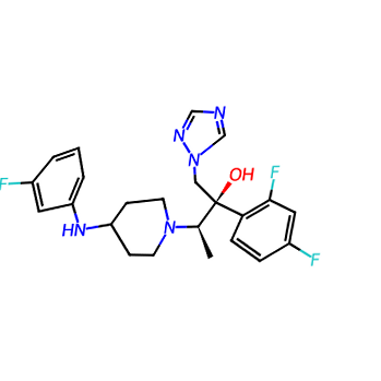 C[C@@H](N1CCC(Nc2cccc(F)c2)CC1)[C@](O)(Cn1cncn1)c1ccc(F)cc1F